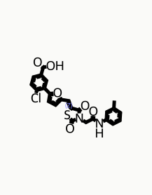 Cc1cccc(NC(=O)CN2C(=O)S/C(=C\c3ccc(-c4cc(C(=O)O)ccc4Cl)o3)C2=O)c1